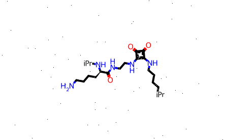 CC(C)CCCCNc1c(NCCNC(=O)[C@@H](CCCCN)NC(C)C)c(=O)c1=O